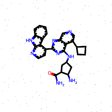 NC(=O)C1CC(Nc2nc(-c3ccnc4[nH]c5ccccc5c34)nc3cncc(C4CCC4)c23)CC1N